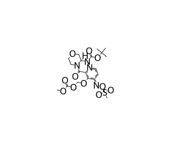 COC(=O)OCOc1c2n(cc/c1=N\OS(C)(=O)=O)N(C(=O)OC(C)(C)C)[C@@H]1COCCN1C2=O